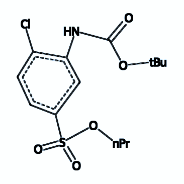 CCCOS(=O)(=O)c1ccc(Cl)c(NC(=O)OC(C)(C)C)c1